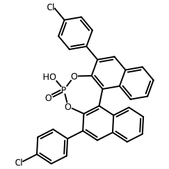 O=P1(O)Oc2c(-c3ccc(Cl)cc3)cc3ccccc3c2-c2c(c(-c3ccc(Cl)cc3)cc3ccccc23)O1